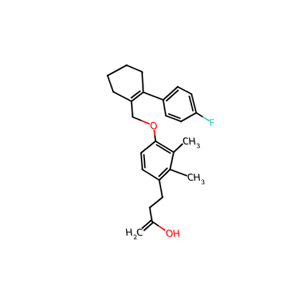 C=C(O)CCc1ccc(OCC2=C(c3ccc(F)cc3)CCCC2)c(C)c1C